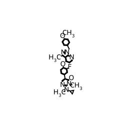 COc1ccc(Cn2nc(C)c3c(Oc4ccc(-c5cnc(N(C)C6CC6)n(C)c5=O)cc4F)ccnc32)cc1